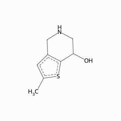 Cc1cc2c(s1)C(O)CNC2